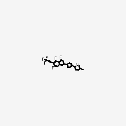 Cc1ccc(-c2ccc(-c3cc(F)c4c(F)c(C#CC(F)(F)F)c(F)cc4c3)cc2)nc1